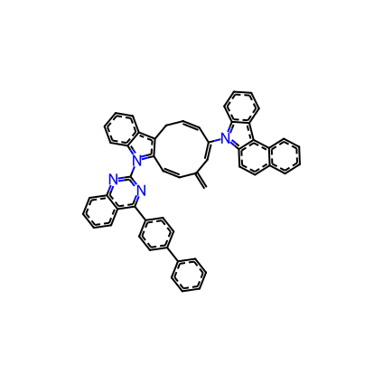 C=C1/C=C\c2c(c3ccccc3n2-c2nc(-c3ccc(-c4ccccc4)cc3)c3ccccc3n2)C/C=C\C(n2c3ccccc3c3c4ccccc4ccc32)=C/1